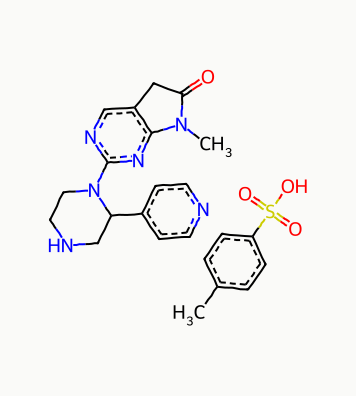 CN1C(=O)Cc2cnc(N3CCNCC3c3ccncc3)nc21.Cc1ccc(S(=O)(=O)O)cc1